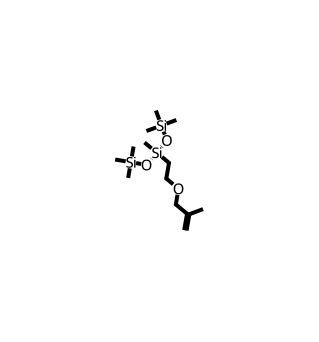 C=C(C)COCC[Si](C)(O[Si](C)(C)C)O[Si](C)(C)C